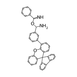 N=C(OC(N)c1cccc(-c2cccc3c2Oc2ccccc2C32c3ccccc3-c3ccccc32)c1)c1ccccc1